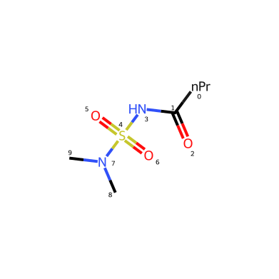 CCCC(=O)NS(=O)(=O)N(C)C